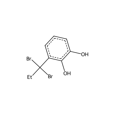 CCC(Br)(Br)c1cccc(O)c1O